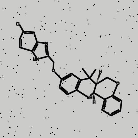 CC1(C)c2cc(OCc3nc4cc(Cl)ccc4[nH]3)ccc2N[C@@H]2c3ccccc3OC[C@@H]21